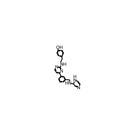 Oc1ccc(CCNc2nccc(-c3cccc(CNC4C=NC=CN4)c3)n2)cc1